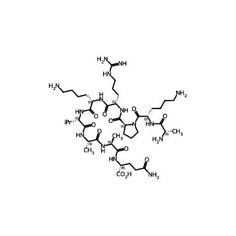 CC(C)[C@H](NC(=O)[C@H](CCCCN)NC(=O)[C@H](CCCNC(=N)N)NC(=O)[C@@H]1CCCN1C(=O)[C@H](CCCCN)NC(=O)[C@H](C)N)C(=O)N[C@@H](C)C(=O)N[C@@H](C)C(=O)N[C@H](CCC(N)=O)C(=O)O